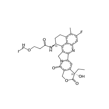 CC[C@@]1(O)C(=O)OCc2c1cc1n(c2=O)Cc2c-1nc1cc(F)c(C)c3c1c2[C@@H](NC(=O)CCOPI)CC3